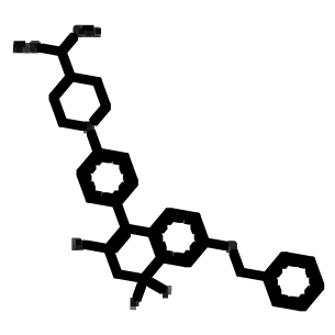 COC(OC)C1CCN(c2ccc(C3=C(Br)CC(F)(F)c4cc(OCc5ccccc5)ccc43)cc2)CC1